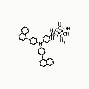 CC(C)(O)C(C)(C)OBc1ccc(N(c2ccc(-c3cccc4ccccc34)cc2)c2ccc(-c3cccc4ccccc34)cc2)cc1